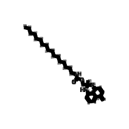 C=c1ccc2c3c(cccc13)NC(C)(COC(=O)NCCCCCCCCCCCCCCCCC)N=2